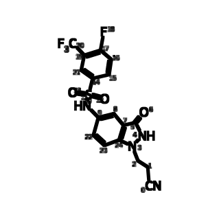 N#CCCn1[nH]c(=O)c2cc(NS(=O)(=O)c3ccc(F)c(C(F)(F)F)c3)ccc21